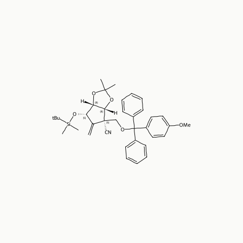 C=C1[C@H](O[Si](C)(C)C(C)(C)C)[C@@H]2OC(C)(C)O[C@@H]2[C@@]1(C#N)COC(c1ccccc1)(c1ccccc1)c1ccc(OC)cc1